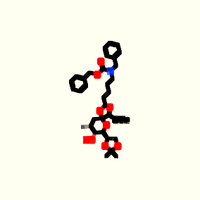 COC(=O)[C@@]1(OCCCCCN(Cc2ccccc2)C(=O)OCc2ccccc2)C[C@@H](C)[C@@H](O)C([C@H]2COC(C)(C)O2)O1